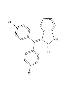 O=C1Nc2ccccc2C1=C(c1ccc(Cl)cc1)c1ccc(Cl)cc1